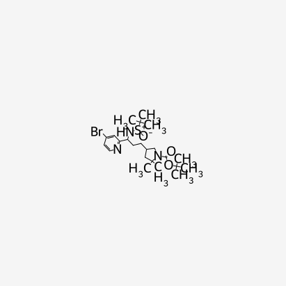 CC(C)(C)OC(=O)N1CC(CCC(N[S+]([O-])C(C)(C)C)c2cc(Br)ccn2)CC1(C)C